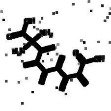 C=C(C(=C)C(=C)C(=C)C(N)(N)C(=O)O)C(=C)C(=C)C(=O)O